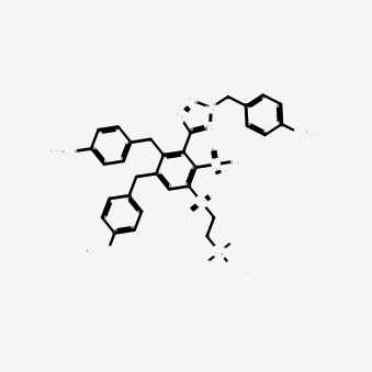 COc1ccc(Cc2cc(S(=O)(=O)CC[Si](C)(C)C)c(S(N)(=O)=O)c(-c3nnn(Cc4ccc(OC)cc4)n3)c2Cc2ccc(OC)cc2)cc1